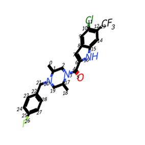 CC1CN(C(=O)c2cc3cc(Cl)c(C(F)(F)F)cc3[nH]2)C(C)CN1Cc1ccc(F)cc1